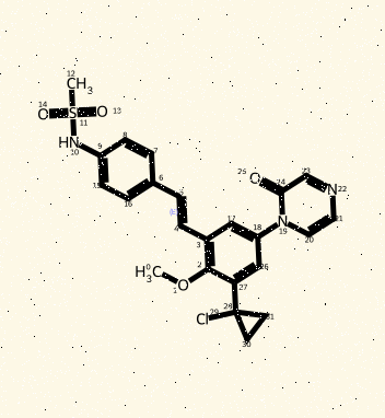 COc1c(/C=C/c2ccc(NS(C)(=O)=O)cc2)cc(-n2ccncc2=O)cc1C1(Cl)CC1